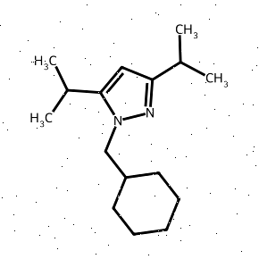 CC(C)c1cc(C(C)C)n(CC2CCCCC2)n1